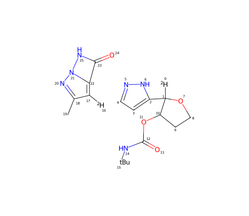 [2H]C1(c2ccn[nH]2)OCCC1OC(=O)NC(C)(C)C.[2H]c1c(C)nn2c1C(=O)N2